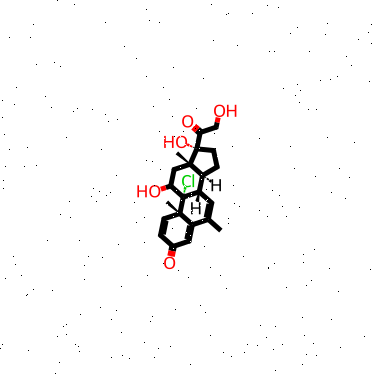 CC1=C[C@H]2[C@@H]3CC[C@](O)(C(=O)CO)[C@@]3(C)CC(O)[C@]2(Cl)[C@@]2(C)C=CC(=O)C=C12